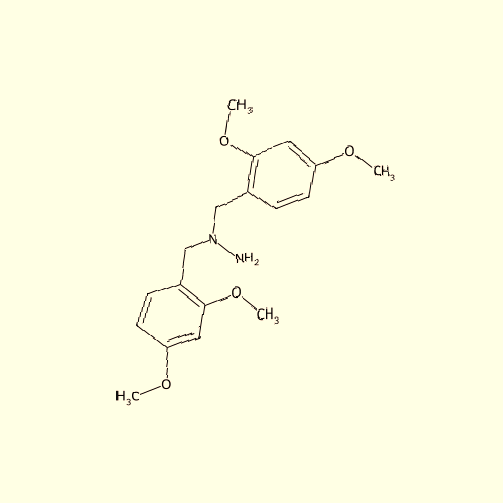 COc1ccc(CN(N)Cc2ccc(OC)cc2OC)c(OC)c1